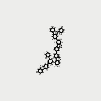 c1ccc(-c2cc(-c3ccc4c(c3)oc3ccccc34)cc(-c3cccc4sc5cc(-c6ccc7c(c6)oc6ccc(-c8ccc9c%10ccccc%10n(-c%10ccccc%10)c9c8)cc67)ccc5c34)n2)cc1